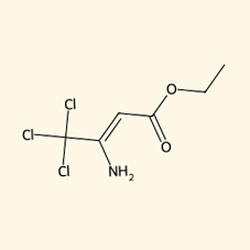 CCOC(=O)C=C(N)C(Cl)(Cl)Cl